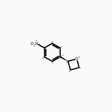 O=[N+]([O-])c1ccc([C@@H]2CCO2)cc1